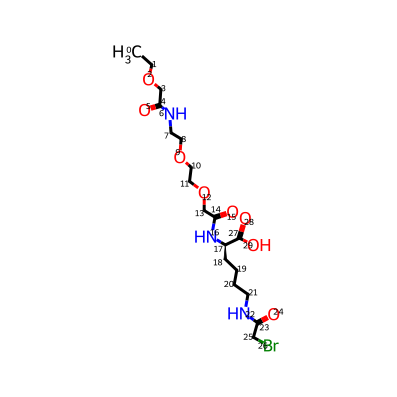 CCOCC(=O)NCCOCCOCC(=O)N[C@H](CCCCNC(=O)CBr)C(=O)O